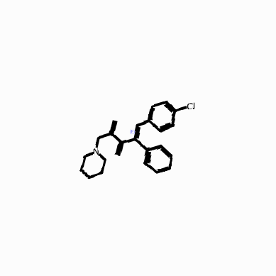 C=C(CN1CCCCC1)C(=C)/C(=C/c1ccc(Cl)cc1)c1ccccc1